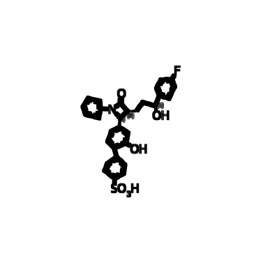 O=C1[C@H](CC[C@H](O)c2ccc(F)cc2)[C@@H](c2ccc(-c3ccc(S(=O)(=O)O)cc3)c(O)c2)N1c1ccccc1